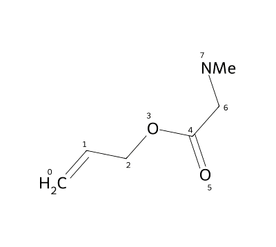 C=CCOC(=O)CNC